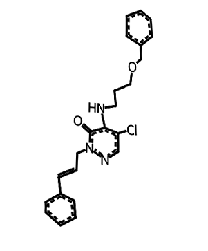 O=c1c(NCCCOCc2ccccc2)c(Cl)cnn1C/C=C/c1ccccc1